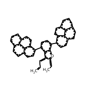 C=C/C=c1\c(=C/C)oc2c(-c3ccc4ccc5cccc6ccc3c4c56)ccc(-c3ccc4ccc5cccc6ccc3c4c56)c12